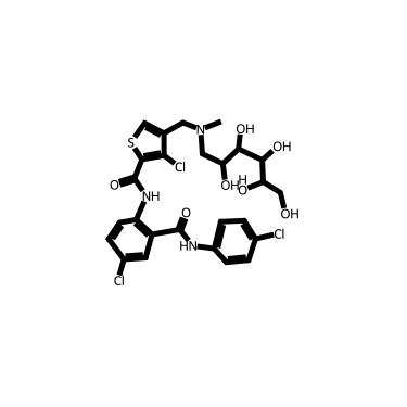 CN(Cc1csc(C(=O)Nc2ccc(Cl)cc2C(=O)Nc2ccc(Cl)cc2)c1Cl)CC(O)C(O)C(O)C(O)CO